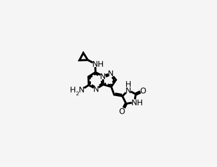 Nc1cc(NC2CC2)n2ncc(C=C3NC(=O)NC3=O)c2n1